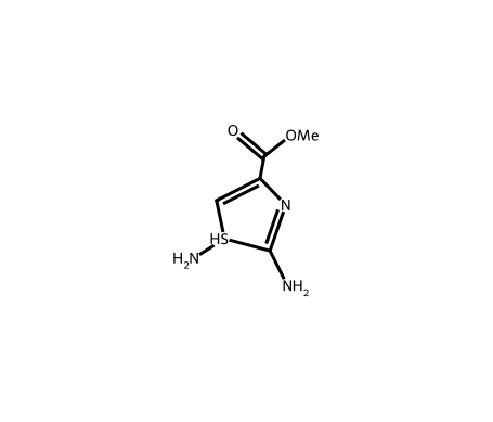 COC(=O)C1=C[SH](N)C(N)=N1